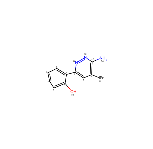 CC(C)c1cc(-c2ccccc2O)nnc1N